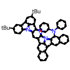 CC(C)(C)c1ccc2c(c1)c1cc(C(C)(C)C)cc3c4nc5c(cc4n2c13)c1cc2ccccc2c2c3cc4ccccc4c(N(c4ccccc4)c4ccccc4)c3n5c12